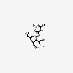 C=CC(=O)OC(CC)C(COC(=O)CC(C)N)C(C)O